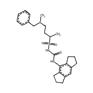 CC(CCN(C)Cc1ccccc1)S(=O)(=O)NC(=O)Nc1c2c(cc3c1CCC3)CCC2